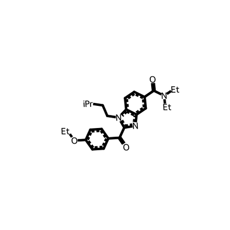 CCOc1ccc(C(=O)c2nc3cc(C(=O)N(CC)CC)ccc3n2CCC(C)C)cc1